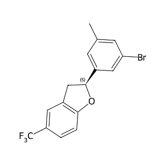 Cc1cc(Br)cc([C@@H]2Cc3cc(C(F)(F)F)ccc3O2)c1